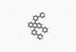 C1=C(c2ccncc2)C=C(c2c3ccccc3c(-c3cccc(-c4ccncc4)c3)c3cc(-c4ccccc4)ccc23)CC1